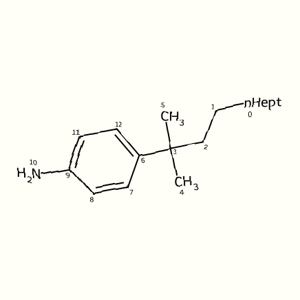 CCCCCCCCCC(C)(C)c1ccc(N)cc1